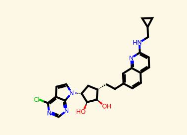 O[C@@H]1[C@@H](CCc2ccc3ccc(NCC4CC4)nc3c2)C[C@@H](n2ccc3c(Cl)ncnc32)[C@@H]1O